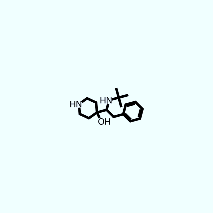 CC(C)(C)NC(Cc1ccccc1)C1(O)CCNCC1